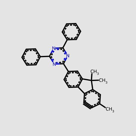 Cc1c#cc2c(c1)C(C)(C)c1cc(-c3nc(-c4ccccc4)nc(-c4ccccc4)n3)ccc1-2